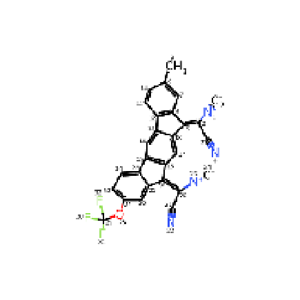 [C-]#[N+]/C(C#N)=C1\c2cc(C)ccc2-c2cc3c(cc21)/C(=C(/C#N)[N+]#[C-])c1cc(OC(F)(F)F)ccc1-3